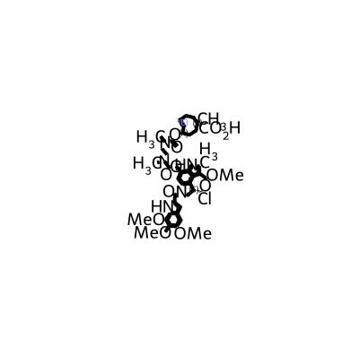 COC(=O)c1c(C)[nH]c2c(OC(=O)N(C)CCN(C)C(=O)O[C@H]3/C=C/CC[C@@](C)(C(=O)O)CC3)cc3c(c12)[C@H](CCl)CN3C(=O)c1cc2cc(OC)c(OC)c(OC)c2[nH]1